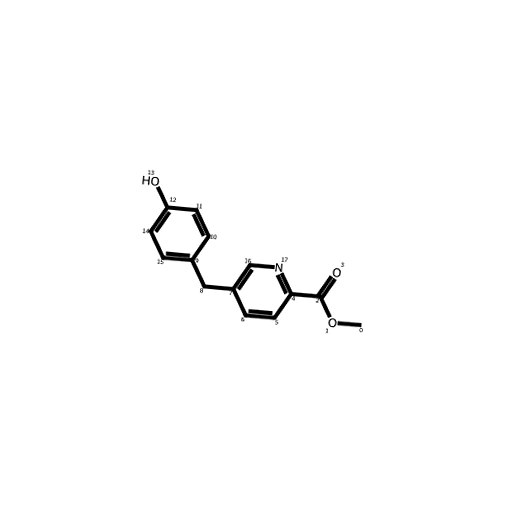 COC(=O)c1ccc(Cc2ccc(O)cc2)cn1